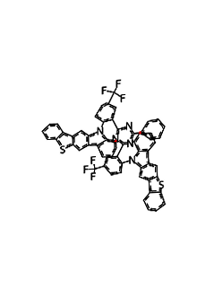 FC(F)(F)c1ccc(-n2c3ccccc3c3cc4sc5ccccc5c4cc32)c(-c2nc(-c3ccccc3)nc(-c3cc(C(F)(F)F)ccc3-n3c4ccccc4c4cc5sc6ccccc6c5cc43)n2)c1